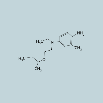 CCC(C)OCCN(CC)c1ccc(N)c(C)c1